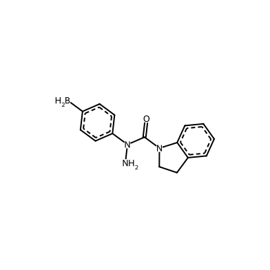 Bc1ccc(N(N)C(=O)N2CCc3ccccc32)cc1